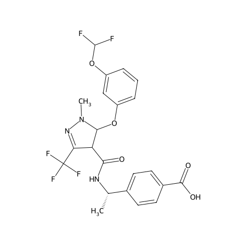 C[C@H](NC(=O)C1C(C(F)(F)F)=NN(C)C1Oc1cccc(OC(F)F)c1)c1ccc(C(=O)O)cc1